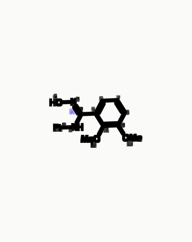 CCN/C(=N\O)c1cccc(OC)c1OC